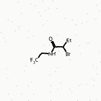 CCC(Br)C(=O)NCC(F)(F)F